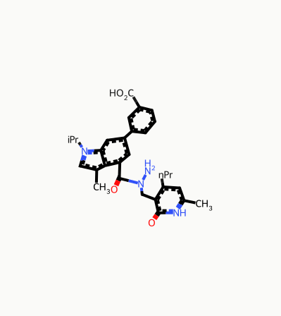 CCCc1cc(C)[nH]c(=O)c1CN(N)C(=O)c1cc(-c2cccc(C(=O)O)c2)cc2c1c(C)cn2C(C)C